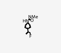 C=C(CF)c1ccc(NC(=O)NC)cc1